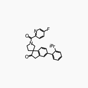 CC(C)c1ccccc1-c1ccc2c(c1)CC(=O)C21CCN(C(=O)c2ccc(F)cn2)C1